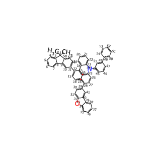 CC1(C)c2ccccc2-c2cc(-c3ccccc3-c3ccccc3N(c3ccc(-c4ccc5oc6ccccc6c5c4)cc3)c3cccc(-c4ccccc4)c3)ccc21